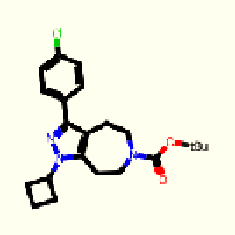 CC(C)(C)OC(=O)N1CCc2c(-c3ccc(Cl)cc3)nn(C3CCC3)c2CC1